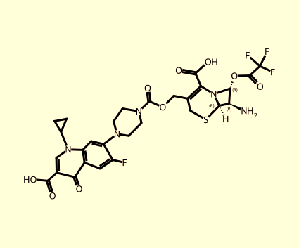 N[C@@H]1[C@@H](OC(=O)C(F)(F)F)N2C(C(=O)O)=C(COC(=O)N3CCN(c4cc5c(cc4F)c(=O)c(C(=O)O)cn5C4CC4)CC3)CS[C@H]12